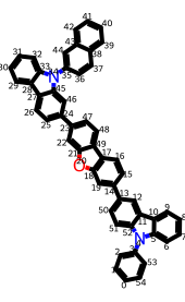 c1ccc(-n2c3ccccc3c3cc(-c4ccc5c(c4)oc4cc(-c6ccc7c8ccccc8n(-c8ccc9ccccc9c8)c7c6)ccc45)ccc32)cc1